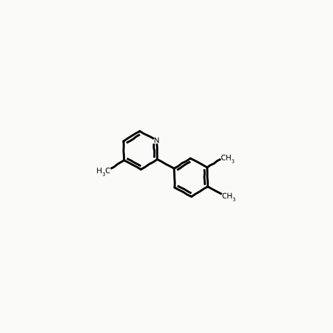 Cc1ccnc(-c2ccc(C)c(C)c2)c1